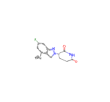 CC(C)(C)c1cc(F)cc2nn(C3CCC(=O)NC3=O)cc12